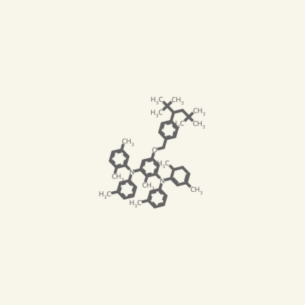 CC1=CCC(C)C(N(c2cccc(C)c2)c2cc(OCc3ccc(C(CC(C)(C)C)C(C)(C)C)cc3)cc(N(c3cccc(C)c3)c3cc(C)ccc3C)c2C)=C1